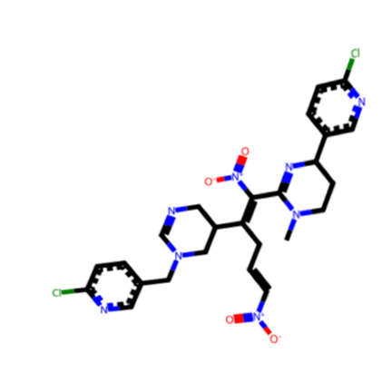 CN1CCC(c2ccc(Cl)nc2)N=C1C(=C(CC=C[N+](=O)[O-])C1CN=CN(Cc2ccc(Cl)nc2)C1)[N+](=O)[O-]